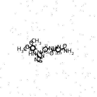 COc1ccc(Nc2nc(N3CCC(NC(=O)c4ccc(C(N)=O)nc4)C3)nc3scnc23)cc1OC